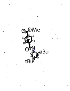 CCCCc1cn(C(C)(C)C)s/c1=N\C(=O)C12CCC(C(=O)OC)(CC1)CC2